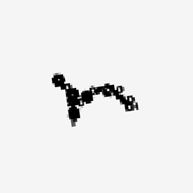 O=C(O)CCCC(=O)N1CCN(CCOc2ccc(Oc3c(-c4ccc(F)cc4)sc4cc(OCc5ccccc5)ccc34)cc2)CC1